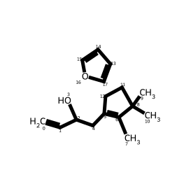 C=CC(O)CC1=C(C)C(C)(C)CC1.c1ccoc1